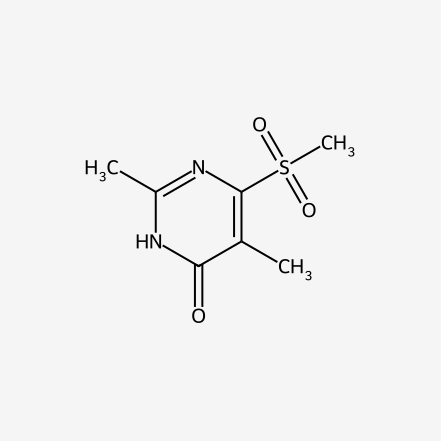 Cc1nc(S(C)(=O)=O)c(C)c(=O)[nH]1